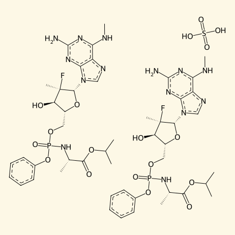 CNc1nc(N)nc2c1ncn2[C@@H]1O[C@H](COP(=O)(N[C@@H](C)C(=O)OC(C)C)Oc2ccccc2)[C@@H](O)[C@@]1(C)F.CNc1nc(N)nc2c1ncn2[C@@H]1O[C@H](COP(=O)(N[C@@H](C)C(=O)OC(C)C)Oc2ccccc2)[C@@H](O)[C@@]1(C)F.O=S(=O)(O)O